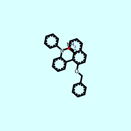 NC(=O)N(c1ccccc1)c1ccccc1-c1c(OCc2ccccc2)ccc2ccccc12